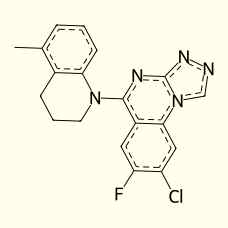 Cc1cccc2c1CCCN2c1nc2nncn2c2cc(Cl)c(F)cc12